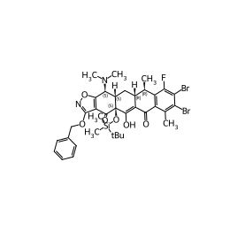 Cc1c(Br)c(Br)c(F)c2c1C(=O)C1=C(O)[C@]3(O[Si](C)(C)C(C)(C)C)C(=O)c4c(OCc5ccccc5)noc4[C@@H](N(C)C)[C@@H]3C[C@@H]1[C@H]2C